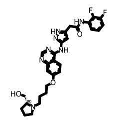 O=C(Cc1cc(Nc2ncnc3cc(OCCCCN4CCC[C@@H]4CO)ccc23)n[nH]1)Nc1cccc(F)c1F